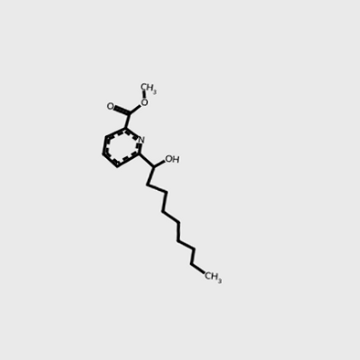 CCCCCCCCC(O)c1cccc(C(=O)OC)n1